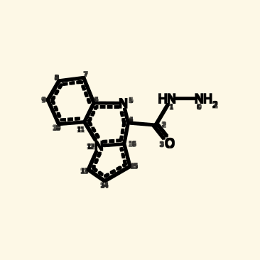 NNC(=O)c1nc2ccccc2n2cccc12